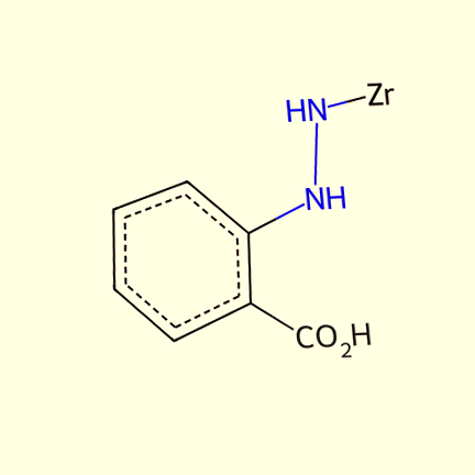 O=C(O)c1ccccc1N[NH][Zr]